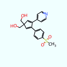 CS(=O)(=O)c1ccc(C2=CC(CO)(CO)C=C2c2ccncc2)cc1